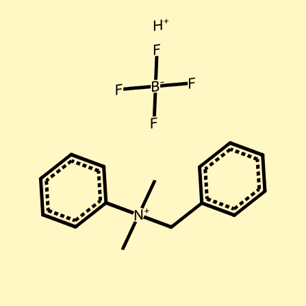 C[N+](C)(Cc1ccccc1)c1ccccc1.F[B-](F)(F)F.[H+]